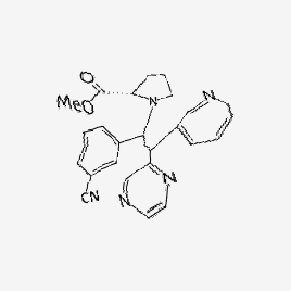 COC(=O)[C@@H]1CCCN1C(c1cccc(C#N)c1)C(c1cccnc1)c1cnccn1